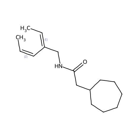 C/C=C\C(=C/C)CNC(=O)CC1CCCCCC1